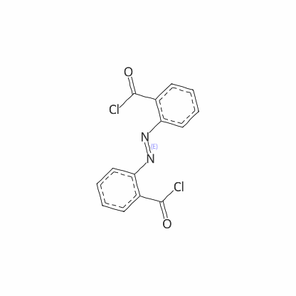 O=C(Cl)c1ccccc1/N=N/c1ccccc1C(=O)Cl